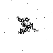 C=C[C@@H]1C[C@]1(NC(=O)[C@@H]1C[C@@H](Oc2cc(-c3ccccc3)nc3cc(OC)ccc23)CN1C(=O)N[C@H](C(=O)NCCO)C(C)C)C(=O)O